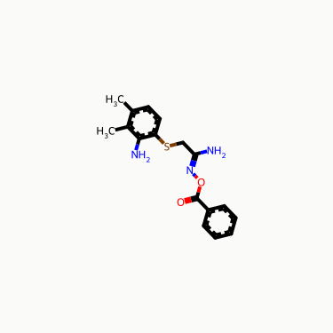 Cc1ccc(SCC(N)=NOC(=O)c2ccccc2)c(N)c1C